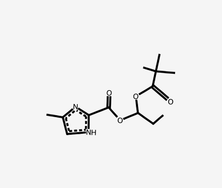 CCC(OC(=O)c1nc(C)c[nH]1)OC(=O)C(C)(C)C